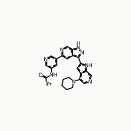 CC(C)C(=O)Nc1cncc(-c2cc3c(-c4cc5c(N6CCCCC6)cncc5[nH]4)n[nH]c3cn2)c1